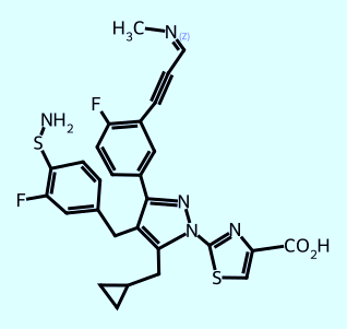 C/N=C\C#Cc1cc(-c2nn(-c3nc(C(=O)O)cs3)c(CC3CC3)c2Cc2ccc(SN)c(F)c2)ccc1F